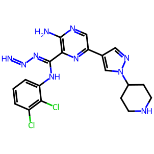 N=N/N=C(\Nc1cccc(Cl)c1Cl)c1nc(-c2cnn(C3CCNCC3)c2)cnc1N